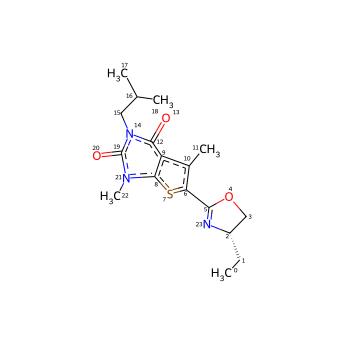 CC[C@H]1COC(c2sc3c(c2C)c(=O)n(CC(C)C)c(=O)n3C)=N1